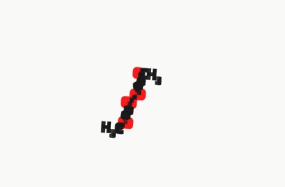 CCOC(=O)c1ccc2cc(C(=O)OCCOC(=O)c3ccc4cc(C(C)=O)ccc4c3)ccc2c1